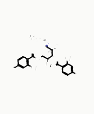 CO/N=C/[C@@H](F)[C@H](OC(=O)c1ccc(Cl)cc1Cl)[C@@H](Br)COC(=O)c1ccc(Cl)cc1Cl